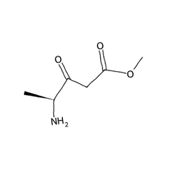 COC(=O)CC(=O)[C@H](C)N